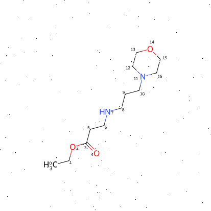 CCOC(=O)CCNCCCN1CCOCC1